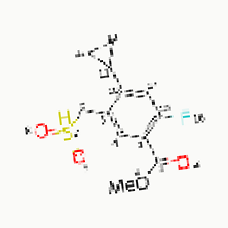 COC(=O)c1cc(C[SH](=O)=O)c(C2CC2)cc1F